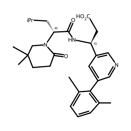 Cc1cccc(C)c1-c1cncc([C@H](CC(=O)O)NC(=O)[C@@H](CC(C)C)N2CC(C)(C)CCC2=O)c1